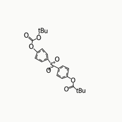 CC(C)(C)OC(=O)Oc1ccc(S(=O)(=O)c2ccc(OC(=O)C(C)(C)C)cc2)cc1